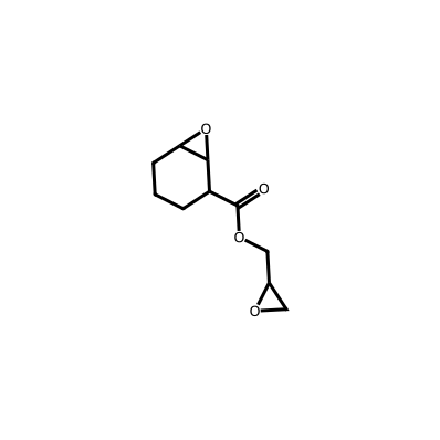 O=C(OCC1CO1)C1CCCC2OC21